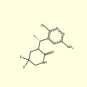 C[C@H](c1cc(N)nnc1Cl)N1CC(F)(F)CNC1=O